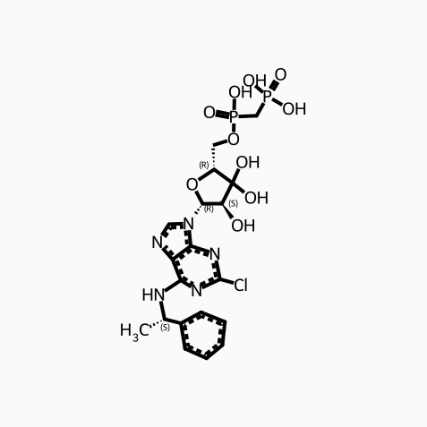 C[C@H](Nc1nc(Cl)nc2c1ncn2[C@@H]1O[C@H](COP(=O)(O)CP(=O)(O)O)C(O)(O)[C@H]1O)c1ccccc1